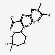 O=C(O)c1cc2cc(Cl)c(Cl)cc2nc1N1CCCC(F)(F)CC1